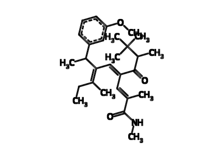 CC/C(C)=C(/C=C(\C=C(/C)C(=O)NC)C(=O)C(C)C(C)(C)C)C(C)c1cccc(OC)c1